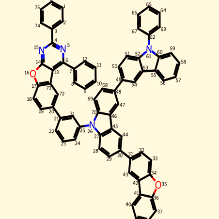 c1ccc(-c2nc(-c3ccccc3)c3c(n2)oc2ccc(-c4cccc(-n5c6ccc(-c7ccc8oc9ccccc9c8c7)cc6c6cc(-c7ccc8c(c7)c7ccccc7n8-c7ccccc7)ccc65)c4)cc23)cc1